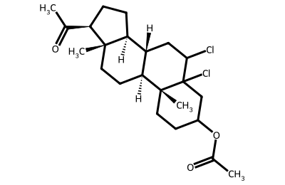 CC(=O)OC1CC[C@]2(C)[C@H]3CC[C@]4(C)[C@@H](C(C)=O)CC[C@H]4[C@@H]3CC(Cl)C2(Cl)C1